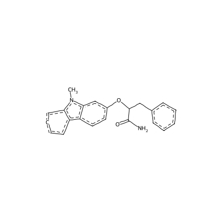 Cn1c2ccccc2c2ccc(OC(Cc3ccccc3)C(N)=O)cc21